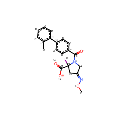 CON=C1CN(C(=O)c2ccc(-c3ccccc3C)cc2)C(I)(C(=O)O)C1